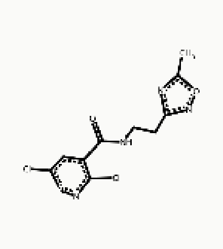 Cc1nc(CCNC(=O)c2cc(Cl)nnc2Cl)no1